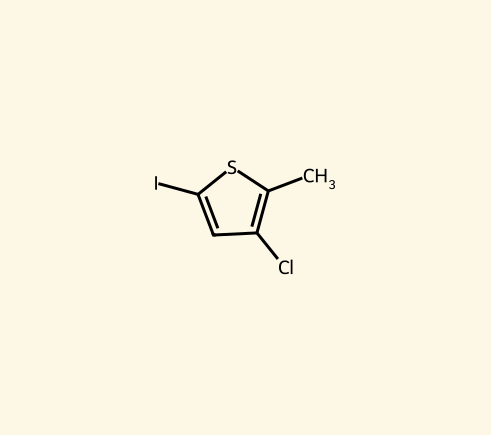 Cc1sc(I)cc1Cl